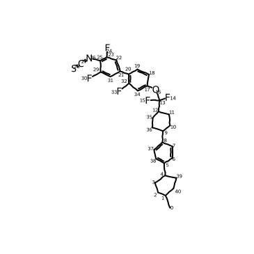 CC1CCC(c2ccc(C3CCC(C(F)(F)Oc4ccc(-c5cc(F)c(N=C=S)c(F)c5)c(F)c4)CC3)cc2)CC1